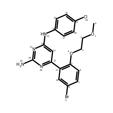 COCCOc1ccc(Br)cc1-c1cc(Nc2ccc(Cl)cc2)nc(N)n1